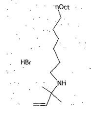 Br.C=CC(C)(C)NCCCCCCCCCCCCCC